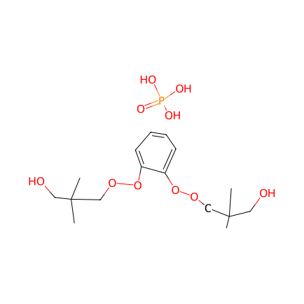 CC(C)(CO)COOc1ccccc1OOCC(C)(C)CO.O=P(O)(O)O